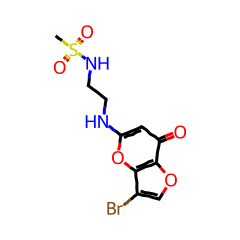 CS(=O)(=O)NCCNc1cc(=O)c2occ(Br)c2o1